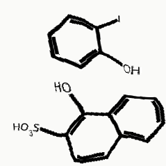 O=S(=O)(O)c1ccc2ccccc2c1O.Oc1ccccc1I